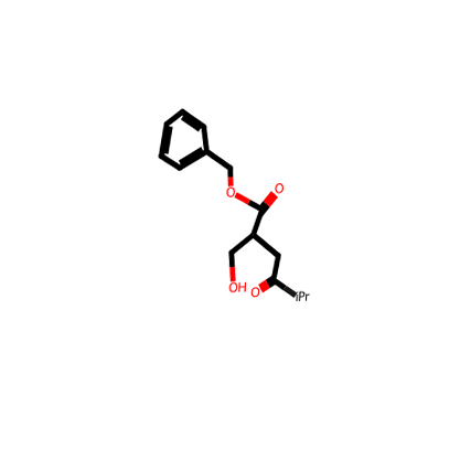 CC(C)C(=O)CC(CO)C(=O)OCc1ccccc1